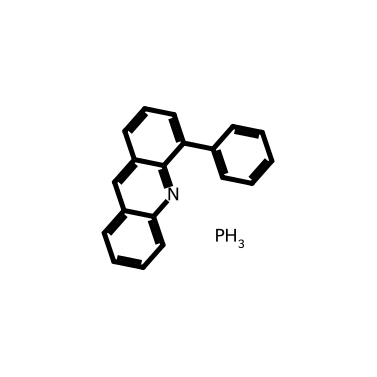 P.c1ccc(-c2cccc3cc4ccccc4nc23)cc1